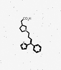 O=C(O)CC1CCN(CCC=C(c2ccccc2)c2cccs2)C1